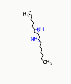 CCCCCCCCCC1CC(CCCCC)N1.N